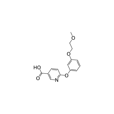 COCCOc1cccc(Oc2ccc(C(=O)O)cn2)c1